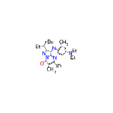 CCCCC(CC)C1=Nn2c(nc(C(C)C)c(C)c2=O)C1=Nc1ccc(N(CC)CC)cc1C